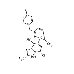 Cc1nc2c(O)c(C34N=C(Cc5ccc(F)cc5)C=CC3C4C)cc(Cl)c2[nH]1